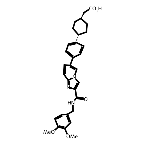 COc1ccc(CNC(=O)c2cn3cc(-c4ccc([C@H]5CC[C@H](CC(=O)O)CC5)cc4)ccc3n2)cc1OC